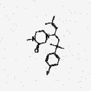 CC(C)=CC(CC(C)(C)c1ccc(F)cc1)N1CCN(C)C(=O)C1